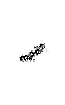 COc1ncccc1Cc1nnc2cc(-c3ccnc(Nc4ccnn4C)c3)ccn12